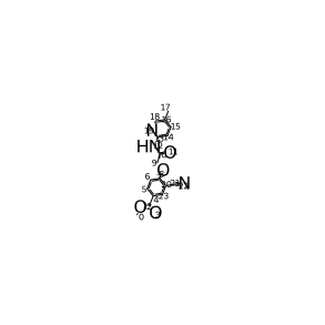 COC(=O)c1ccc(OCC(=O)Nc2ccc(C)cn2)c(C#N)c1